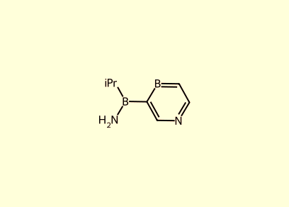 CC(C)B(N)c1bccnc1